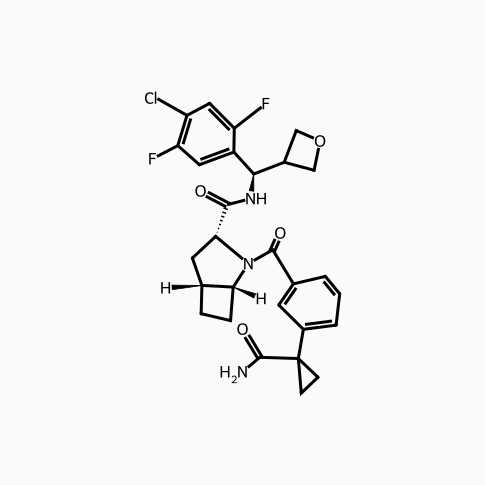 NC(=O)C1(c2cccc(C(=O)N3[C@@H](C(=O)N[C@@H](c4cc(F)c(Cl)cc4F)C4COC4)C[C@H]4CC[C@H]43)c2)CC1